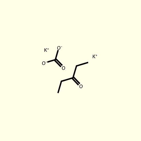 CCC(=O)CC.O=C([O-])[O-].[K+].[K+]